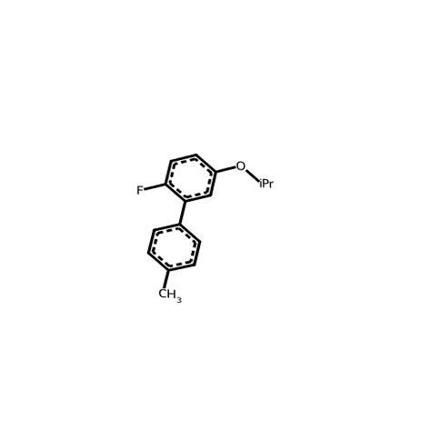 Cc1ccc(-c2cc(OC(C)C)ccc2F)cc1